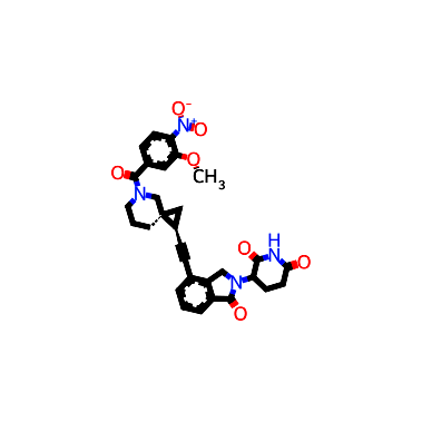 COc1cc(C(=O)N2CCC[C@@]3(C[C@H]3C#Cc3cccc4c3CN(C3CCC(=O)NC3=O)C4=O)C2)ccc1[N+](=O)[O-]